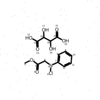 COC(=O)CN(Cl)c1ccccc1.O=C(O)C(O)C(O)C(=O)O